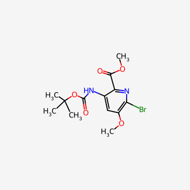 COC(=O)c1nc(Br)c(OC)cc1NC(=O)OC(C)(C)C